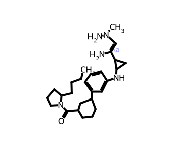 CCCCC1CCCN1C(=O)C1CCCC(c2cccc(NC3CC3/C(N)=C/N(C)N)c2)C1